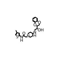 Cc1csc(NC(=O)CN2CCC(NCC(O)C3COc4ccccc4O3)CC2)c1